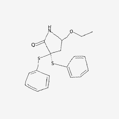 CCOC1CC(Sc2ccccc2)(Sc2ccccc2)C(=O)N1